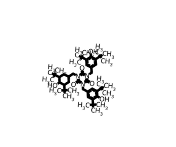 CC(C)(C)c1cc(Cn2c(=O)n(Cc3cc(C(C)(C)C)c(O)c(C(C)(C)C)c3)c(=O)n(CC3CC(C(C)(C)C)C(O)C(C(C)(C)C)C3)c2=O)cc(C(C)(C)C)c1O